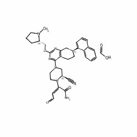 CN1CCC[C@H]1COc1nc2c(c(N3CCN(C(=CC=O)C(N)=O)[C@H](C#N)C3)n1)CC[C@H](c1cccc3ccccc13)C2.O=CO